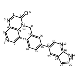 O=c1cnc2cnccc2n1Cc1cccc(-c2cnc3[nH]ccc3c2)c1